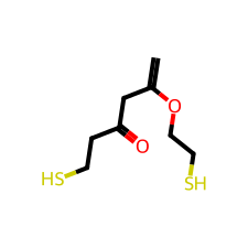 C=C(CC(=O)CCS)OCCS